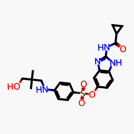 CC(C)(CO)CNc1ccc(S(=O)(=O)Oc2ccc3[nH]c(NC(=O)C4CC4)nc3c2)cc1